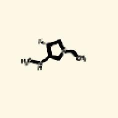 CCN1C[C@@H](F)[C@H](NC)C1